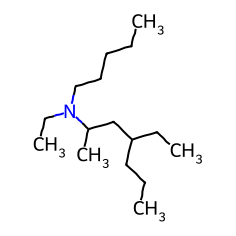 CCCCCN(CC)C(C)CC(CC)CCC